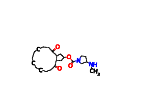 CNC1CCN(C(=O)OC2CC3C(=O)CCCCCCCCCCC(=O)C3C2)C1